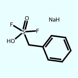 O=S(O)(F)(F)Cc1ccccc1.[NaH]